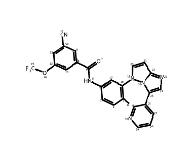 Cc1ccc(NC(=O)c2cc(C#N)cc(OC(F)(F)F)c2)cc1-n1ccc2ncc(-c3cccnc3)n21